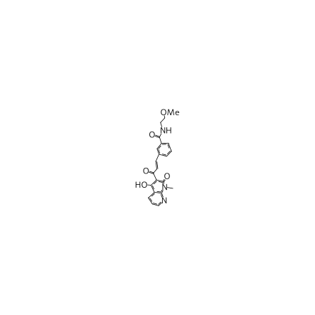 COCCNC(=O)c1cccc(/C=C/C(=O)c2c(O)c3cccnc3n(C)c2=O)c1